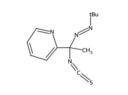 CC(C)(C)N=NC(C)(N=C=S)c1ccccn1